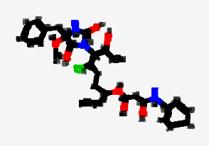 CCCCCCCC(CCC(Cl)C(C(=O)C(C)(C)C)N1C(=O)NC(Cc2ccccc2)(OCC)C1=O)OC(=O)CC(=O)Nc1ccccc1